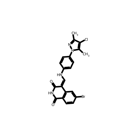 Cc1nn(-c2ccc(N/C=C3\C(=O)NC(=O)c4ccc(Br)cc43)cc2)c(C)c1Cl